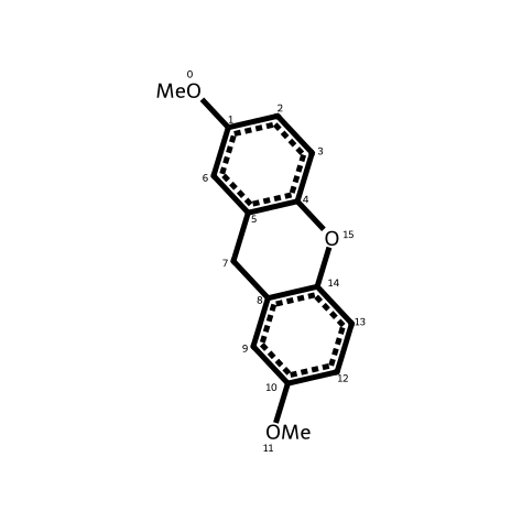 COc1ccc2c(c1)Cc1cc(OC)ccc1O2